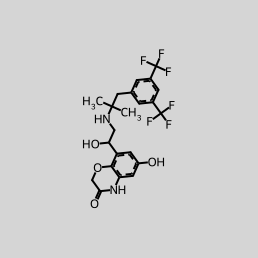 CC(C)(Cc1cc(C(F)(F)F)cc(C(F)(F)F)c1)NCC(O)c1cc(O)cc2c1OCC(=O)N2